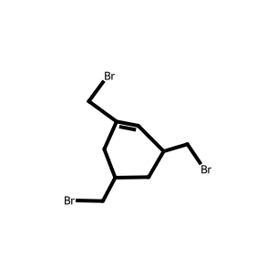 BrCC1=CC(CBr)CC(CBr)C1